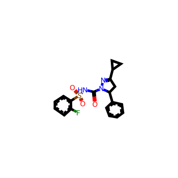 O=C(NS(=O)(=O)c1ccccc1F)N1N=C(C2CC2)CC1c1ccccc1